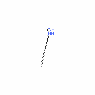 CCCCCCCCCCCCCCCCC=CNC1CCN1